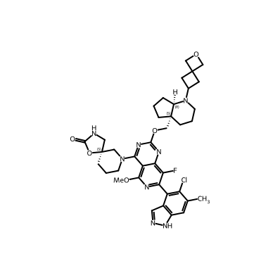 COc1nc(-c2c(Cl)c(C)cc3[nH]ncc23)c(F)c2nc(OC[C@]34CCC[C@H]3N(C3CC5(COC5)C3)CCC4)nc(N3CCC[C@]4(CNC(=O)O4)C3)c12